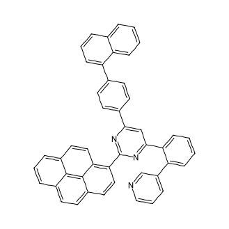 c1cncc(-c2ccccc2-c2cc(-c3ccc(-c4cccc5ccccc45)cc3)nc(-c3ccc4ccc5cccc6ccc3c4c56)n2)c1